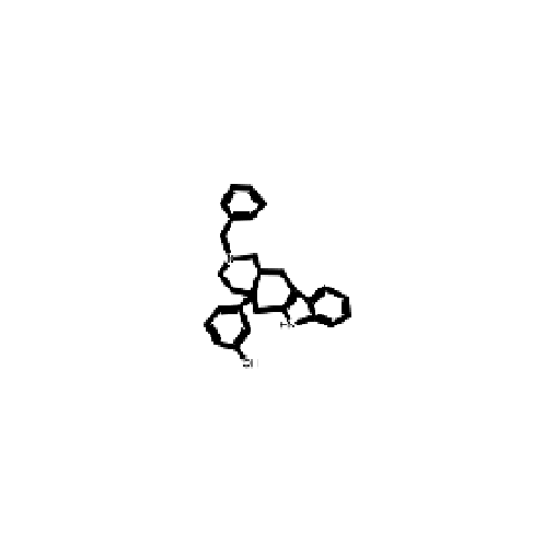 Oc1cccc(C23CCN(Cc4ccccc4)CC2Cc2c([nH]c4ccccc24)C3)c1